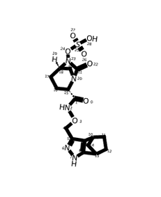 O=C(NOCc1n[nH]c2c1C1CCC2C1)[C@@H]1CC[C@@H]2CN1C(=O)N2OS(=O)(=O)O